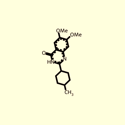 COc1cc2nc(C3CCC(C)CC3)[nH]c(=O)c2cc1OC